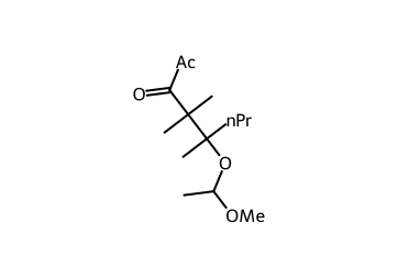 CCCC(C)(OC(C)OC)C(C)(C)C(=O)C(C)=O